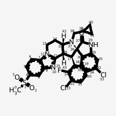 CS(=O)(=O)c1ccc2c(c1)nc1n2CC[C@H]2[C@@H]1[C@H](c1cccc(Cl)c1F)[C@]1(C(=O)Nc3cc(Cl)ccc31)N2CC1CC1